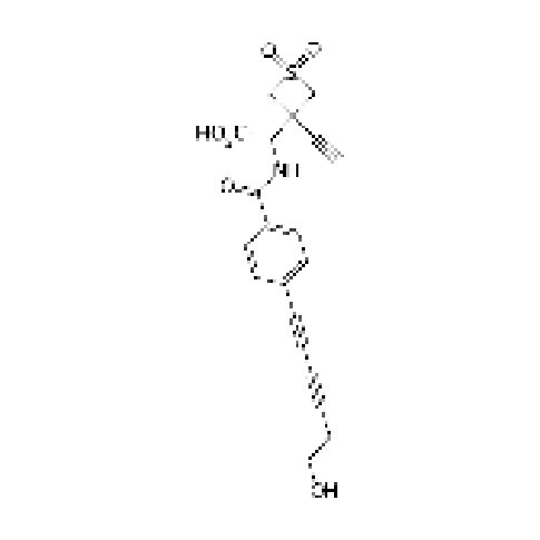 C#CC1([C@H](NC(=O)c2ccc(C#CC#CCCO)cc2)C(=O)O)CS(=O)(=O)C1